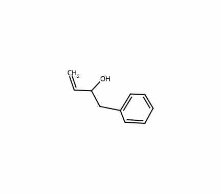 C=CC(O)[CH]c1ccccc1